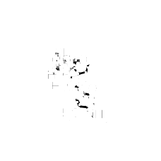 CC[C@]1(OC(C)n2cc(C)c(N)nc2=O)CCOCC1OP(=O)(O)OC